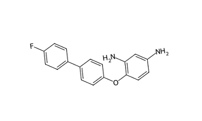 Nc1ccc(Oc2ccc(-c3ccc(F)cc3)cc2)c(N)c1